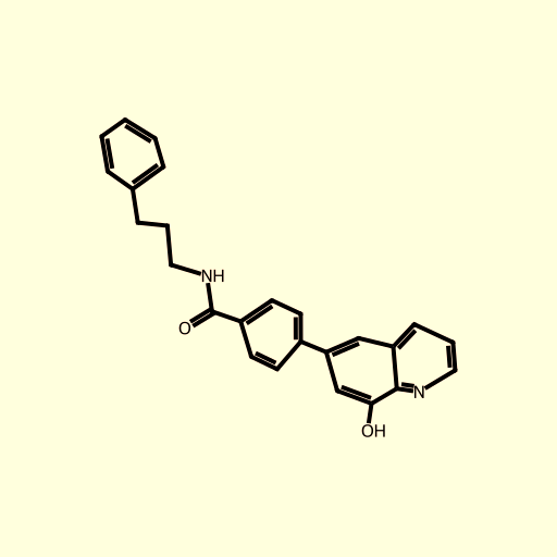 O=C(NCCCc1ccccc1)c1ccc(-c2cc(O)c3ncccc3c2)cc1